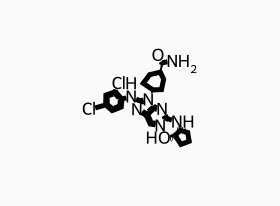 NC(=O)[C@H]1CC[C@H](n2c(Nc3ccc(Cl)cc3Cl)nc3cnc(N[C@@H]4CCC[C@H]4O)nc32)CC1